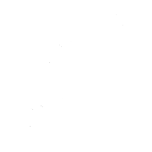 CC1(C)OB(c2ccc(N3CCCN(C(=O)c4cc(Cc5n[nH]c(=O)c6ccccc56)ccc4F)C3)cc2)OC1(C)C